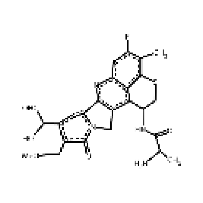 COCc1c(C(O)C=O)cc2n(c1=O)Cc1c-2nc2cc(F)c(C)c3c2c1C(NC(=O)C(C)N)CS3